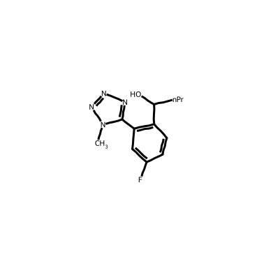 CCCC(O)c1ccc(F)cc1-c1nnnn1C